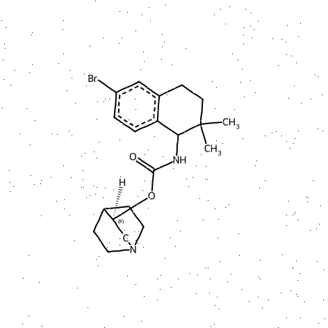 CC1(C)CCc2cc(Br)ccc2C1NC(=O)O[C@H]1CN2CCC1CC2